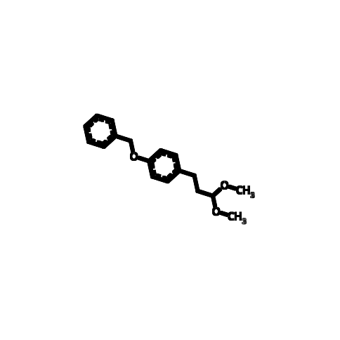 COC(CCc1ccc(OCc2ccccc2)cc1)OC